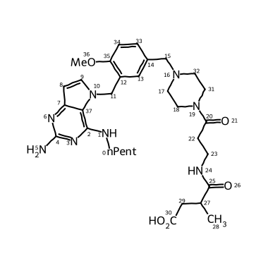 CCCCCNc1nc(N)nc2ccn(Cc3cc(CN4CCN(C(=O)CCNC(=O)C(C)CC(=O)O)CC4)ccc3OC)c12